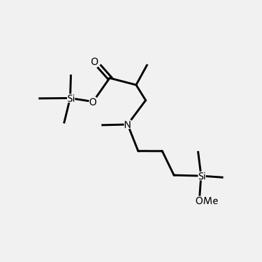 CO[Si](C)(C)CCCN(C)CC(C)C(=O)O[Si](C)(C)C